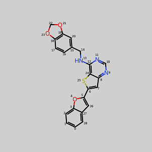 c1ccc2oc(-c3cc4ncnc(NCc5ccc6c(c5)OCO6)c4s3)cc2c1